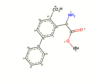 CC(C)(C)OC(=O)C(N)c1cc(-c2ccccc2)ccc1C(=O)O